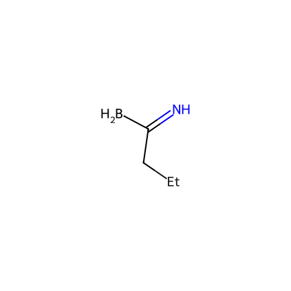 BC(=N)CCC